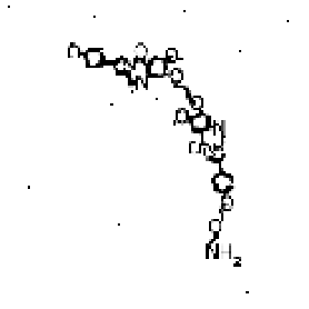 COc1ccc(C2=CN3C(=O)c4cc(OC)c(OCCCOc5cc6c(cc5OC)C(=O)N5C=C(c7ccc(OCCOCCN)cc7)CC5C=N6)cc4N=CC3C2)cc1